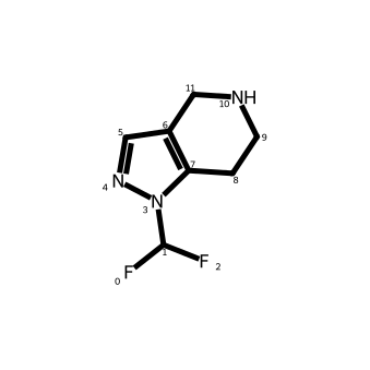 FC(F)n1ncc2c1CCNC2